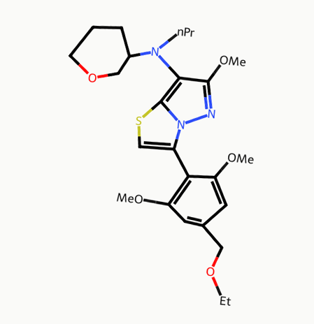 CCCN(c1c(OC)nn2c(-c3c(OC)cc(COCC)cc3OC)csc12)C1CCCOC1